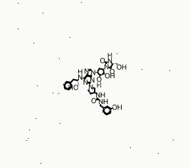 O=C(NCc1cccc(O)c1)NC1CCN(c2nc(N[C@H](CO)Cc3ccccc3)c3ncn([C@@H]4C[C@H](N5C(=O)N[C@H](CO)C5=O)[C@@H](O)[C@H]4O)c3n2)C1